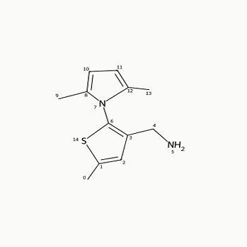 Cc1cc(CN)c(-n2c(C)ccc2C)s1